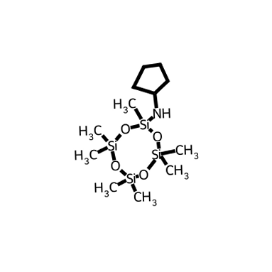 C[Si]1(C)O[Si](C)(C)O[Si](C)(NC2CCCC2)O[Si](C)(C)O1